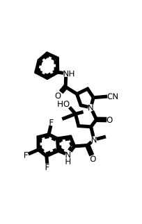 CN(C(=O)c1cc2c(F)cc(F)c(F)c2[nH]1)C(CC(C)(C)O)C(=O)N1CC(C(=O)Nc2ccccc2)CC1C#N